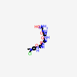 CCCN(CCCl)c1ccc(C(=O)Nc2cc(C(=O)Nc3cc(C(=O)Nc4cc(C(=O)NCCC(N)=NO)n(C)c4)n(C)c3)n(C)c2)cc1